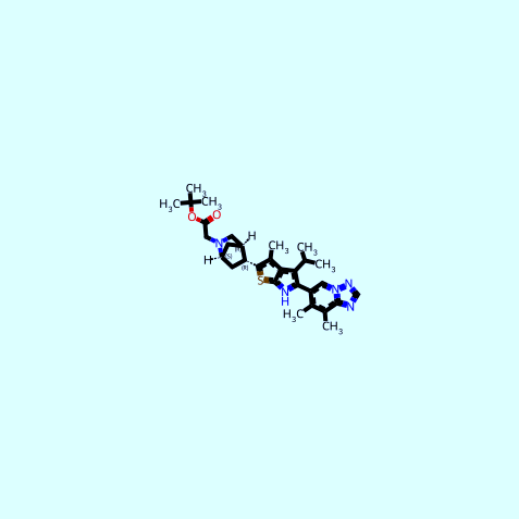 Cc1c(-c2[nH]c3sc([C@@H]4C[C@@H]5C[C@H]4CN5CC(=O)OC(C)(C)C)c(C)c3c2C(C)C)cn2ncnc2c1C